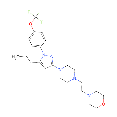 CCCc1cc(N2CCN(CCN3CCOCC3)CC2)nn1-c1ccc(OC(F)(F)F)cc1